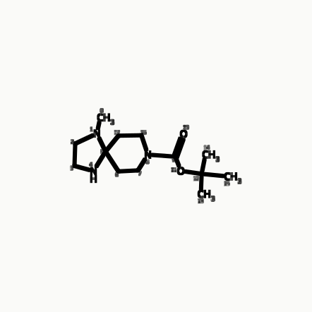 CN1CCNC12CCN(C(=O)OC(C)(C)C)CC2